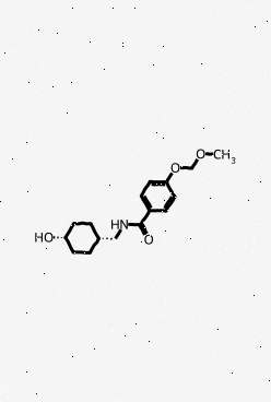 COCOc1ccc(C(=O)NC[C@H]2CC[C@@H](O)CC2)cc1